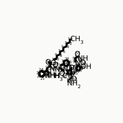 CCCCCCCCCCCCOC(=O)[C@H](Cc1c[nH]c2ccccc12)NC(=O)N[C@@H](CC1CCCCC1)C(=O)N[C@@H]1C(=O)N(C[C@H]2C[C@@H](O)[C@H](n3ccc(=O)[nH]c3=O)O2)N(C(=O)CN)[C@H]1C